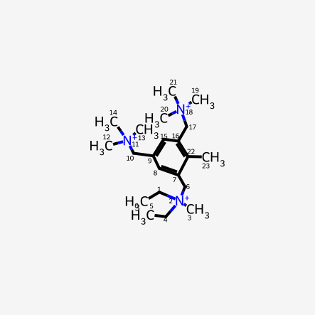 CC[N+](C)(CC)Cc1cc(C[N+](C)(C)C)cc(C[N+](C)(C)C)c1C